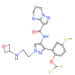 CSc1ccc(OC(F)F)c(-c2nn(CCNC3COC3)cc2NC(=O)c2cnn3cccnc23)c1